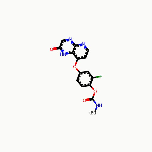 CC(C)(C)NC(=O)Oc1ccc(Oc2ccnc3ncc(=O)[nH]c23)cc1F